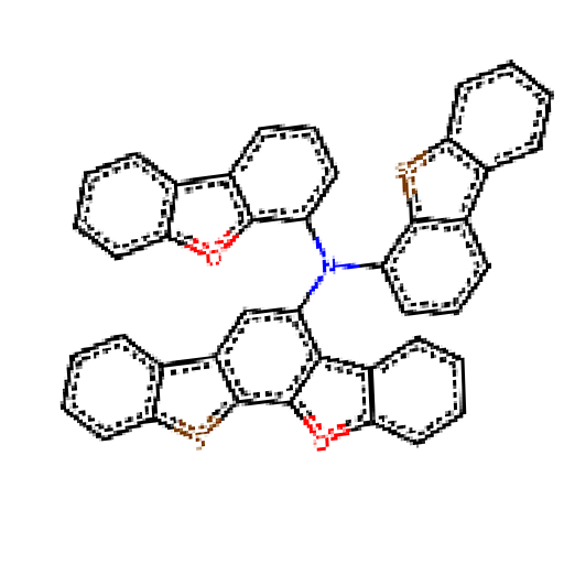 c1ccc2c(c1)oc1c(N(c3cccc4c3sc3ccccc34)c3cc4c5ccccc5sc4c4oc5ccccc5c34)cccc12